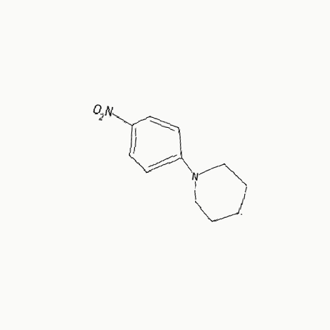 O=[N+]([O-])c1ccc(N2CC[CH]CC2)cc1